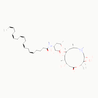 CC/C=C\C/C=C\C/C=C\C/C=C\C/C=C\CCCC(=O)N(C)[C@H]1C[C@@H](C)O[C@@H](O[C@@H]2[C@H](C)[C@H](O)[C@@H](C)C(=O)O[C@H](CC)[C@@](C)(O)[C@H](O)[C@@H](C)N(C)C[C@H](C)C[C@@]2(C)O)[C@@H]1O